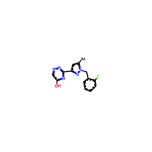 CC(=O)c1cc(-c2nncc(O)n2)nn1Cc1ccccc1F